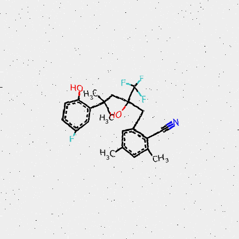 Cc1cc(C)c(C#N)c(CC(O)(CC(C)(C)c2cc(F)ccc2O)C(F)(F)F)c1